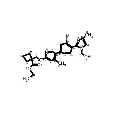 CCOC(=O)C1(COc2cc(C)c(-c3ccc(-c4nc(C)cn4CO)c(F)c3)cn2)CCC1